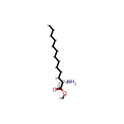 CCCCCCCCCCC[C@H](N)C(=O)OC